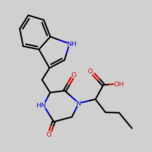 CCCC(C(=O)O)N1CC(=O)NC(Cc2c[nH]c3ccccc23)C1=O